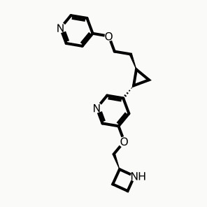 c1cc(OCC[C@H]2C[C@@H]2c2cncc(OC[C@@H]3CCN3)c2)ccn1